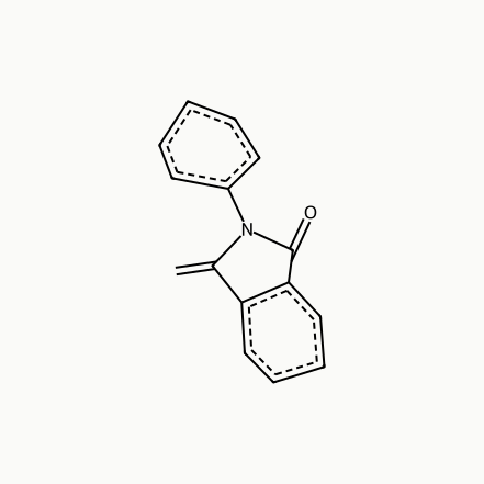 C=C1c2ccccc2C(=O)N1c1ccccc1